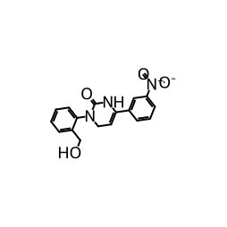 O=C1NC(c2cccc([N+](=O)[O-])c2)=CCN1c1ccccc1CO